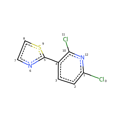 Clc1ccc(-c2nc[c]s2)c(Cl)n1